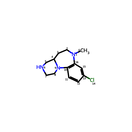 CN1CCC2CNCCN2c2ccc(Cl)cc21